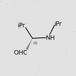 CC(C)N[C@H](C=O)C(C)C